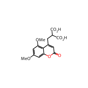 COc1cc(OC)c2c(CC(C(=O)O)C(=O)O)cc(=O)oc2c1